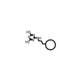 Sc1nc(S)nc(NCCCC2CCCCCCCCCC2)n1